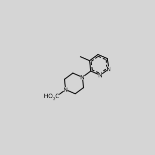 Cc1ccnnc1N1CCN(C(=O)O)CC1